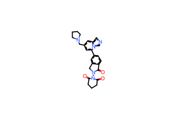 O=C1c2ccc(-c3cc(CN4CCCC4)cc4cncn34)cc2CN1N1C(=O)CCCC1=O